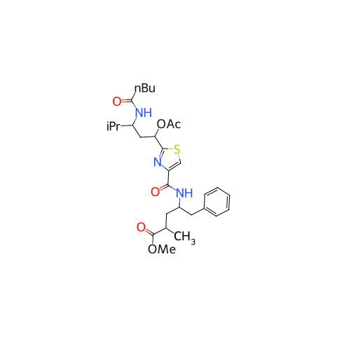 CCCCC(=O)NC(CC(OC(C)=O)c1nc(C(=O)NC(Cc2ccccc2)CC(C)C(=O)OC)cs1)C(C)C